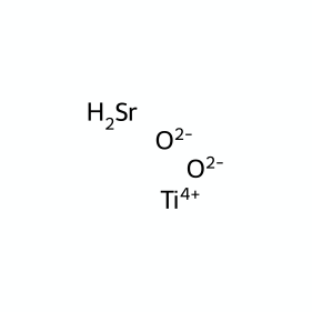 [O-2].[O-2].[SrH2].[Ti+4]